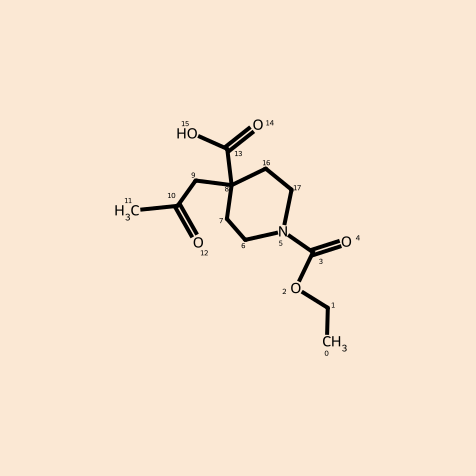 CCOC(=O)N1CCC(CC(C)=O)(C(=O)O)CC1